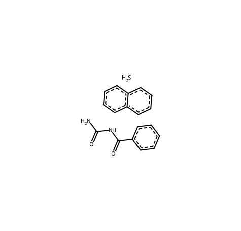 NC(=O)NC(=O)c1ccccc1.S.c1ccc2ccccc2c1